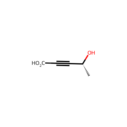 C[C@@H](O)C#CC(=O)O